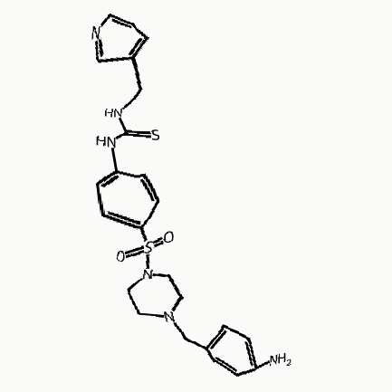 Nc1ccc(CN2CCN(S(=O)(=O)c3ccc(NC(=S)NCc4cccnc4)cc3)CC2)cc1